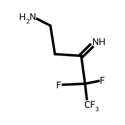 N=C(CCN)C(F)(F)C(F)(F)F